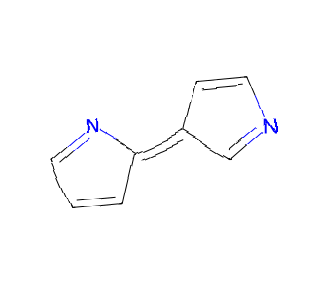 C1=CC(=C2C=CN=C2)N=C1